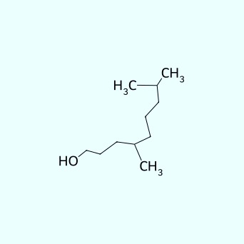 CC(C)CCCC(C)CCCO